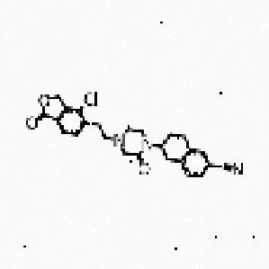 N#Cc1ccc2c(c1)CCC(N1CCN(CCc3ccc4c(c3Cl)COC4=O)CC1=O)C2